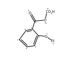 CCOc1ccccc1C(=O)OC(=O)O